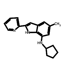 Cc1cc(NC2CCCC2)c2[nH]c(-c3ccccn3)cc2c1